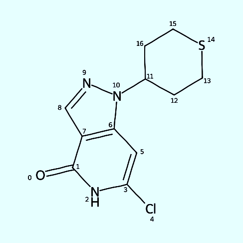 O=c1[nH]c(Cl)cc2c1cnn2C1CCSCC1